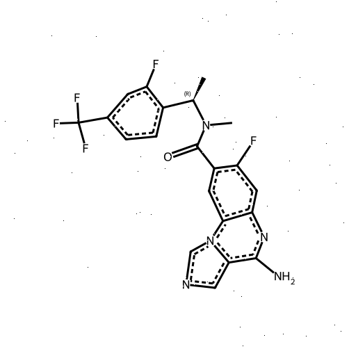 C[C@H](c1ccc(C(F)(F)F)cc1F)N(C)C(=O)c1cc2c(cc1F)nc(N)c1cncn12